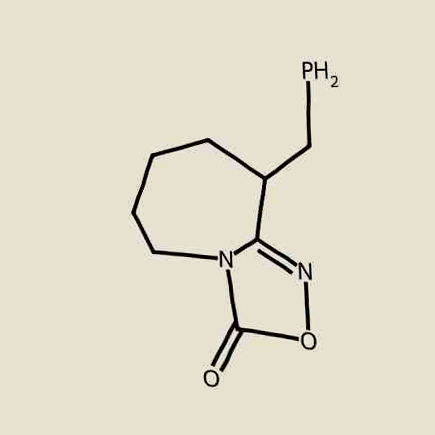 O=c1onc2n1CCCCC2CP